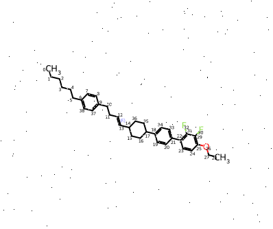 CCCCCCc1ccc(CC/C=C/C2CCC(c3ccc(-c4ccc(OCC)c(F)c4F)cc3)CC2)cc1